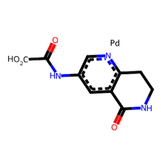 O=C(O)C(=O)Nc1cnc2c(c1)C(=O)NCC2.[Pd]